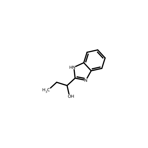 CCC(O)c1nc2ccccc2[nH]1